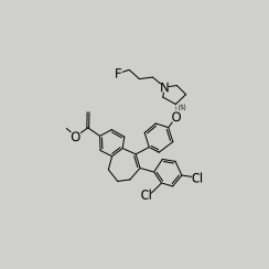 C=C(OC)c1ccc2c(c1)CCCC(c1ccc(Cl)cc1Cl)=C2c1ccc(O[C@H]2CCN(CCCF)C2)cc1